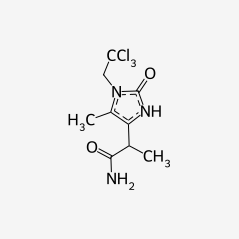 Cc1c(C(C)C(N)=O)[nH]c(=O)n1CC(Cl)(Cl)Cl